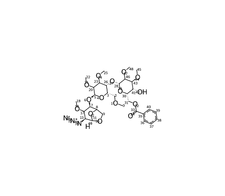 COC[C@@H]1O[C@@H](O[C@H]2C3CO[C@H](O3)[C@@H](N=[N+]=[N-])C2OC)C(OC)C(OC)[C@@H]1O[C@H]1O[C@@H](COC(=O)c2ccccc2)[C@@H](O)C(OC)C1OC